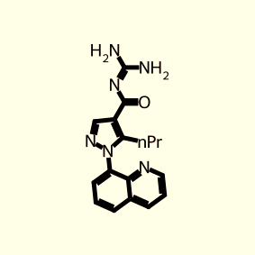 CCCc1c(C(=O)N=C(N)N)cnn1-c1cccc2cccnc12